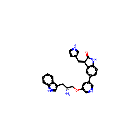 N[C@@H](COc1cncc(-c2ccc3c(c2)C(=Cc2cc[nH]c2)C(=O)N3)c1)Cc1c[nH]c2ccccc12